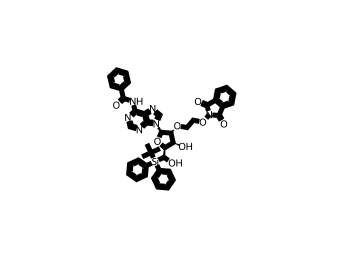 CC(C)(C)[Si](c1ccccc1)(c1ccccc1)C(O)[C@H]1O[C@@H](n2cnc3c(NC(=O)c4ccccc4)ncnc32)[C@H](OCCON2C(=O)c3ccccc3C2=O)[C@@H]1O